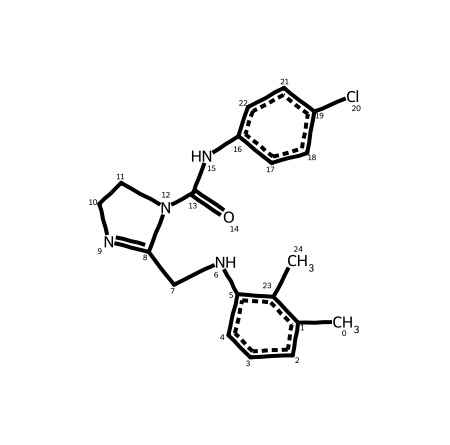 Cc1cccc(NCC2=NCCN2C(=O)Nc2ccc(Cl)cc2)c1C